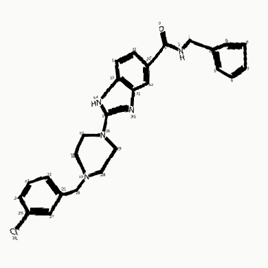 O=C(NCc1ccccc1)c1ccc2[nH]c(N3CCN(Cc4cccc(Cl)c4)CC3)nc2c1